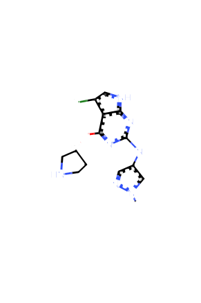 CCn1cc(Nc2nc(O[C@@H]3CCNC3)c3c(Cl)c[nH]c3n2)cn1